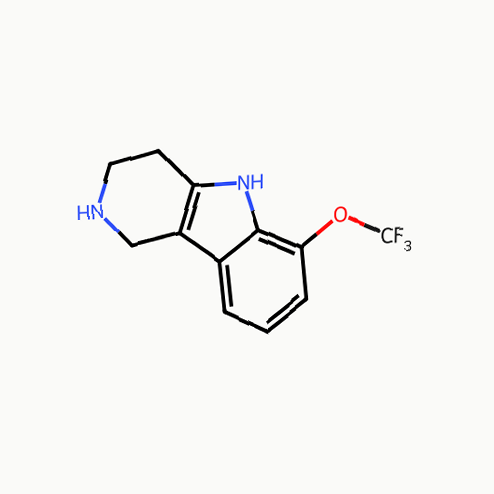 FC(F)(F)Oc1cccc2c3c([nH]c12)CCNC3